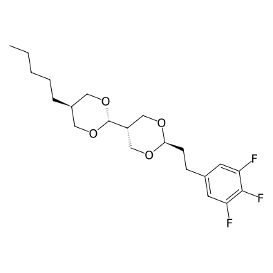 CCCCC[C@H]1CO[C@H]([C@H]2CO[C@H](CCc3cc(F)c(F)c(F)c3)OC2)OC1